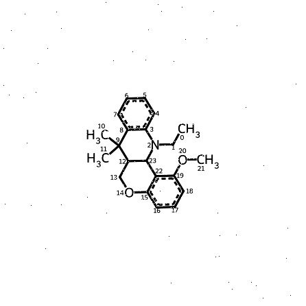 CCN1c2ccccc2C(C)(C)C2COc3cccc(OC)c3C21